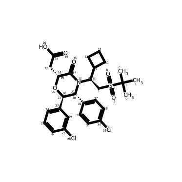 CC(C)(C)S(=O)(=O)C[C@H](C1CCC1)N1C(=O)[C@@H](CC(=O)O)O[C@H](c2cccc(Cl)c2)[C@H]1c1ccc(Cl)cc1